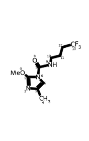 COc1nc(C)cn1C(=O)NCCCC(F)(F)F